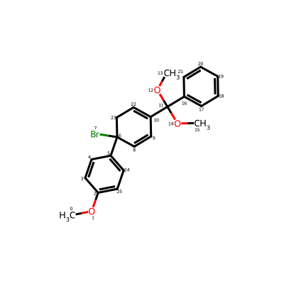 COc1ccc(C2(Br)C=CC(C(OC)(OC)c3ccccc3)=CC2)cc1